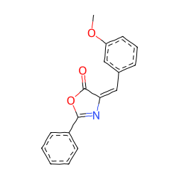 COc1cccc(C=C2N=C(c3ccccc3)OC2=O)c1